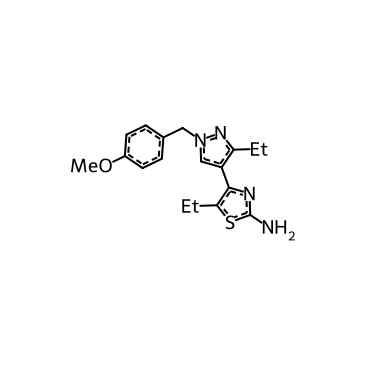 CCc1nn(Cc2ccc(OC)cc2)cc1-c1nc(N)sc1CC